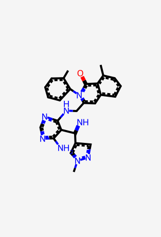 Cc1ccccc1-n1c(CNc2ncnc(N)c2C(=N)c2cnn(C)c2)cc2cccc(C)c2c1=O